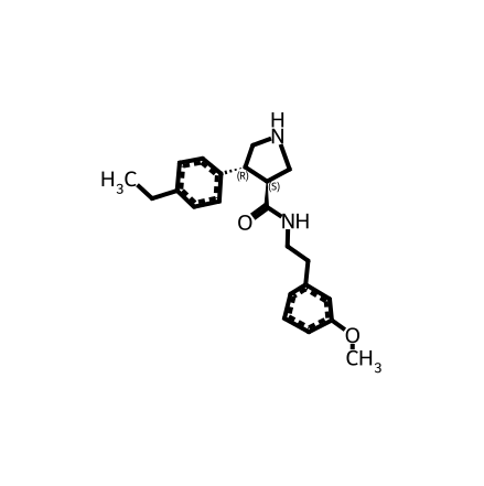 CCc1ccc([C@@H]2CNC[C@H]2C(=O)NCCc2cccc(OC)c2)cc1